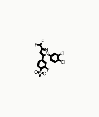 CS(=O)(=O)c1ccc(-c2cc(C(F)F)nn2-c2ccc(Cl)c(Cl)c2)cc1F